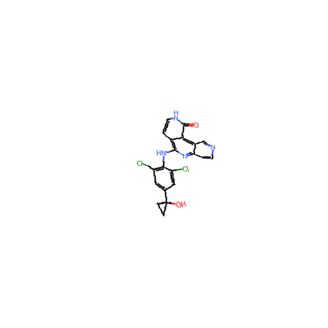 O=c1[nH]ccc2c(Nc3c(Cl)cc(C4(O)CC4)cc3Cl)nc3ccncc3c12